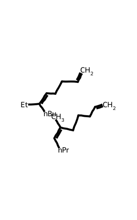 C=CCCC=C(CC)CCCC.C=CCCCC(C)=CCCC